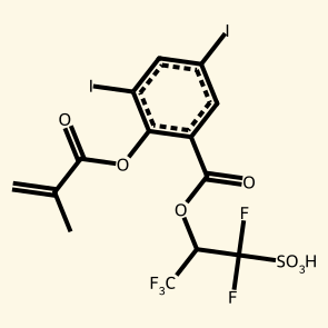 C=C(C)C(=O)Oc1c(I)cc(I)cc1C(=O)OC(C(F)(F)F)C(F)(F)S(=O)(=O)O